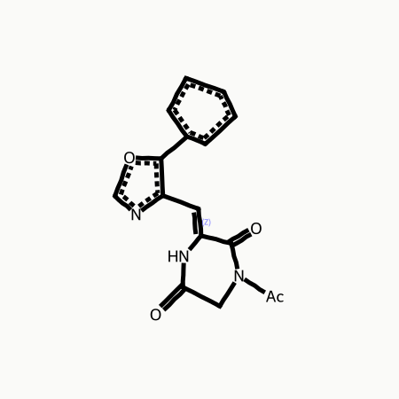 CC(=O)N1CC(=O)N/C(=C\c2ncoc2-c2ccccc2)C1=O